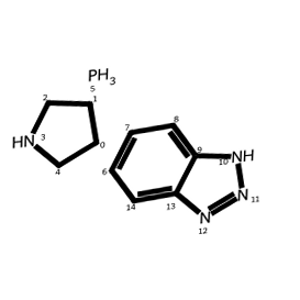 C1CCNC1.P.c1ccc2[nH]nnc2c1